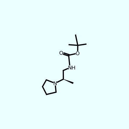 C[C@H](CNC(=O)OC(C)(C)C)N1CCCC1